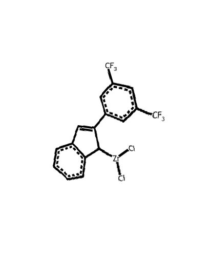 FC(F)(F)c1cc(C2=Cc3ccccc3[CH]2[Zr]([Cl])[Cl])cc(C(F)(F)F)c1